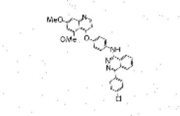 COc1cc(OC)c2c(Oc3ccc(Nc4nnc(-c5ccc(Cl)cc5)c5ccccc45)cc3)ccnc2c1